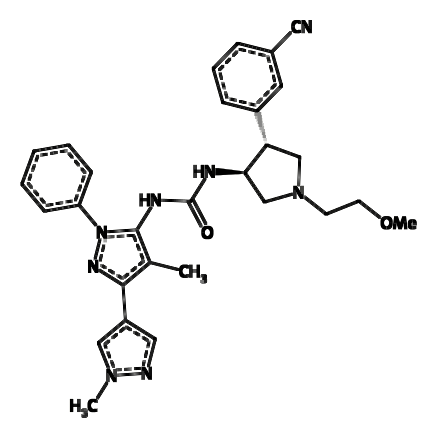 COCCN1C[C@@H](NC(=O)Nc2c(C)c(-c3cnn(C)c3)nn2-c2ccccc2)[C@H](c2cccc(C#N)c2)C1